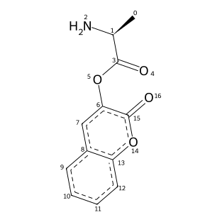 C[C@H](N)C(=O)Oc1cc2ccccc2oc1=O